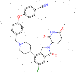 N#Cc1ccc(Oc2ccc(CN3CCC(c4cc(F)cc5c4CN(C4CCC(=O)NC4=O)C5=O)CC3)cc2)cc1